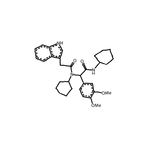 COc1ccc(C(C(=O)NC2CCCCC2)N(C(=O)Cc2c[nH]c3ccccc23)C2CCCCC2)cc1OC